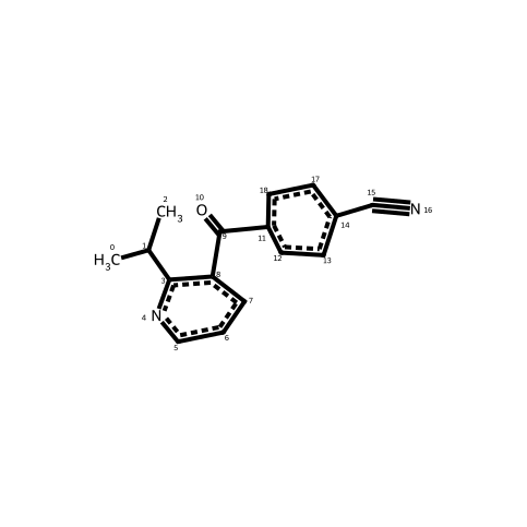 CC(C)c1ncccc1C(=O)c1ccc(C#N)cc1